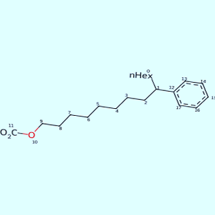 CCCCCCC(CCCCCCCCOC(=O)O)c1ccccc1